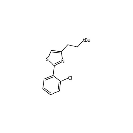 CC(C)(C)CCc1csc(-c2ccccc2Cl)n1